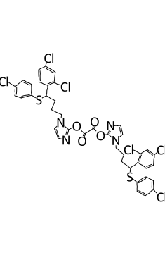 O=C(Oc1nccn1CCCC(Sc1ccc(Cl)cc1)c1ccc(Cl)cc1Cl)C(=O)Oc1nccn1CCCC(Sc1ccc(Cl)cc1)c1ccc(Cl)cc1Cl